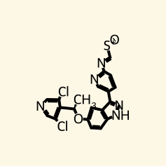 C[C@@H](Oc1ccc2[nH]nc(-c3ccc(/N=C/[S+]=O)nc3)c2c1)c1c(Cl)cncc1Cl